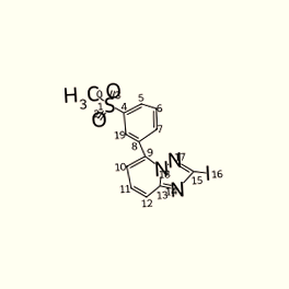 CS(=O)(=O)c1cccc(-c2cccc3nc(I)nn23)c1